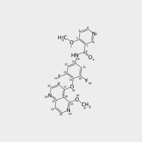 COc1ccncc1C(=O)Nc1cc(F)c(Oc2ccnc3ccnc(OC)c23)c(F)c1